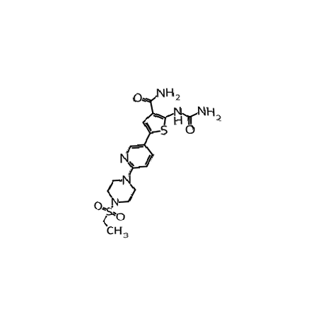 CCS(=O)(=O)N1CCN(c2ccc(-c3cc(C(N)=O)c(NC(N)=O)s3)cn2)CC1